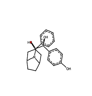 C[C@@H]([C@@H](O)c1ccc(O)cc1)N1C2CCC1CC(O)(c1ccccc1)C2